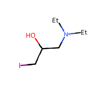 CCN(CC)CC(O)CI